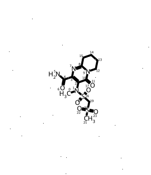 CN(c1c(C(N)=O)nc2n(c1=O)CCCC2)S(=O)(=O)CS(C)(=O)=O